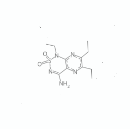 CCc1nc2c(nc1CC)N(CC)S(=O)(=O)N=C2N